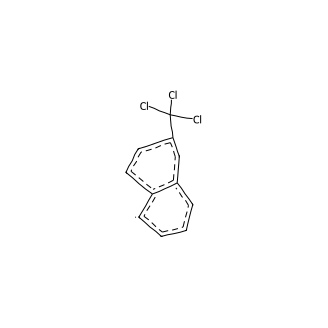 ClC(Cl)(Cl)c1ccc2[c]cccc2c1